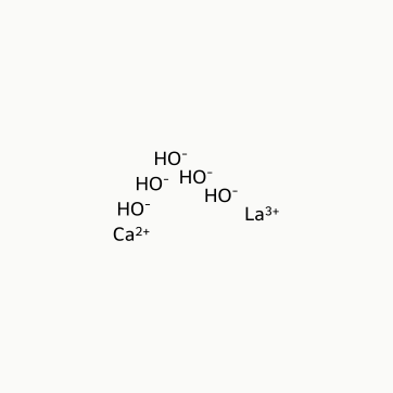 [Ca+2].[La+3].[OH-].[OH-].[OH-].[OH-].[OH-]